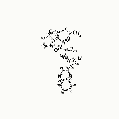 Cc1ccc(-c2ncccc2C)c(C(=O)C2CC[C@H]3CC(c4cnc5ccccc5n4)N3N2)n1